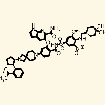 CC(C)c1ccccc1[C@H]1CCC[C@H]1N1CC2(CCN(c3ccc(C(=O)NS(=O)(=O)c4cc5c(c([N+](=O)[O-])c4)N[C@@H]([C@H]4CC[C@](C)(O)CC4)CO5)c(Oc4cc5cc[nH]c5nc4C(N)=O)c3)CC2)C1